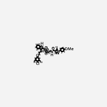 COc1ccc(-n2nnc(C(=O)NCCS(=O)(=O)NC(=O)c3[nH]c4ccccc4c3CCCOc3cc(C)c(Cl)c(C)c3)c2C)cc1